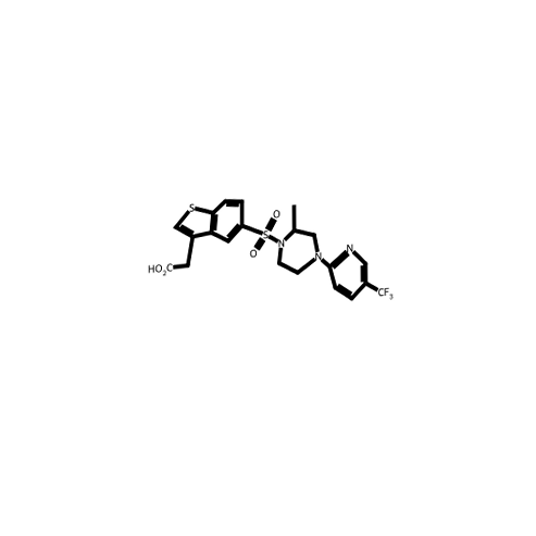 CC1CN(c2ccc(C(F)(F)F)cn2)CCN1S(=O)(=O)c1ccc2scc(CC(=O)O)c2c1